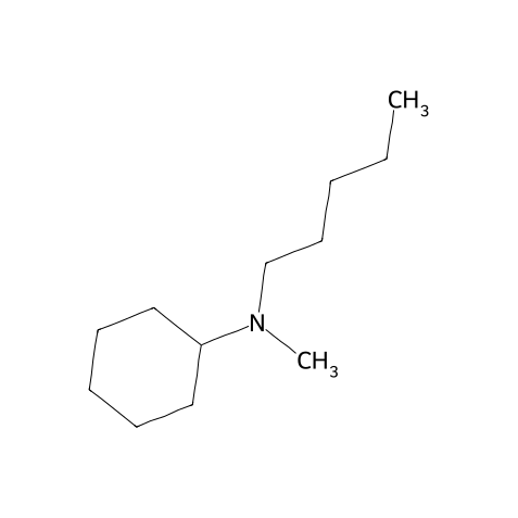 CCCCCN(C)C1CCCCC1